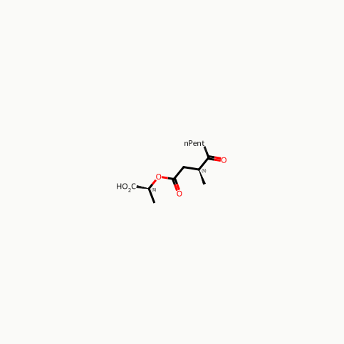 CCCCCC(=O)[C@@H](C)CC(=O)O[C@@H](C)C(=O)O